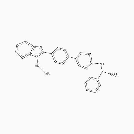 CCCCNc1c(-c2ccc(-c3ccc(NC(C(=O)O)c4ccccc4)cc3)cc2)nc2ccccn12